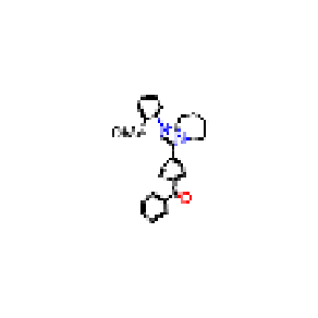 COc1ccccc1-n1cc(-c2ccc(C(=O)c3ccccc3)cc2)[n+]2c1CCCCC2